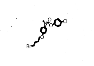 CN(C(=O)Oc1ccc(Cl)cc1)c1ccc(OCCCCBr)cc1